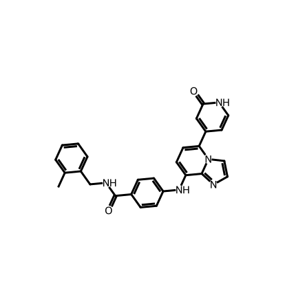 Cc1ccccc1CNC(=O)c1ccc(Nc2ccc(-c3cc[nH]c(=O)c3)n3ccnc23)cc1